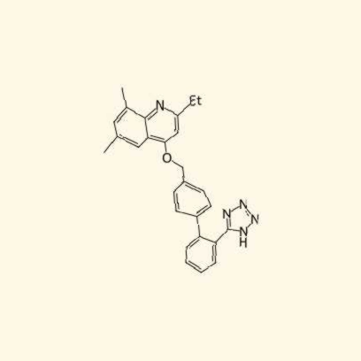 CCc1cc(OCc2ccc(-c3ccccc3-c3nnn[nH]3)cc2)c2cc(C)cc(C)c2n1